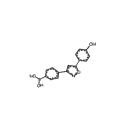 OB(O)c1ccc(-c2cc(-c3ccc(O)cc3)on2)cc1